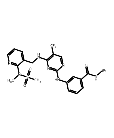 CC(C)NC(=O)c1cccc(Nc2ncc(C(F)(F)F)c(NCc3cccnc3N(C)S(C)(=O)=O)n2)c1